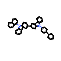 c1ccc(-c2ccc(-n3c4ccccc4c4cc(-c5ccc6c(c5)c5ccccc5n6-c5cccc6ccccc56)ccc43)cc2)cc1